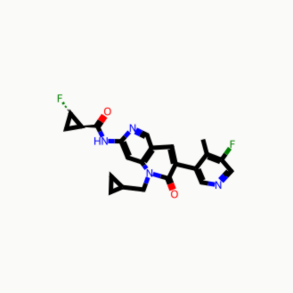 Cc1c(F)cncc1-c1cc2cnc(NC(=O)[C@H]3C[C@@H]3F)cc2n(CC2CC2)c1=O